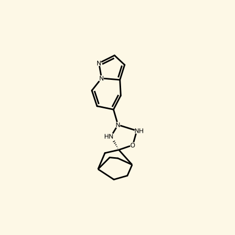 c1cc2cc(N3NO[C@@]4(CC5CCC4CC5)N3)ccn2n1